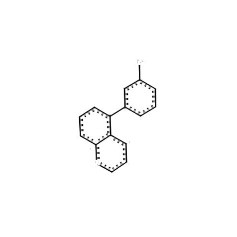 Nc1cccc(-c2cccc3ncccc23)c1